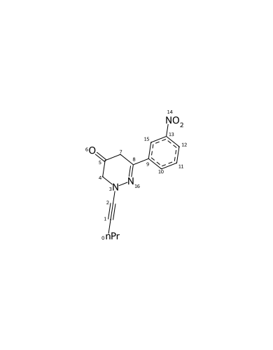 CCCC#CN1CC(=O)CC(c2cccc([N+](=O)[O-])c2)=N1